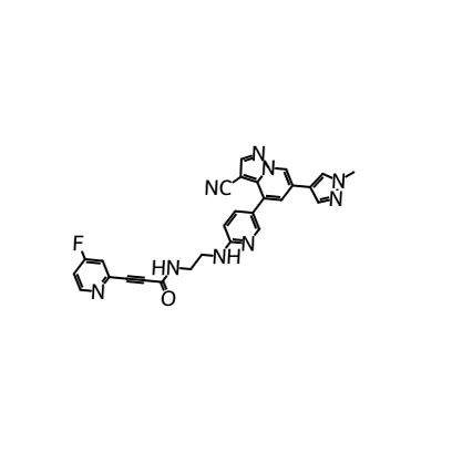 Cn1cc(-c2cc(-c3ccc(NCCNC(=O)C#Cc4cc(F)ccn4)nc3)c3c(C#N)cnn3c2)cn1